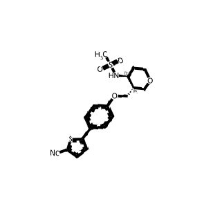 CS(=O)(=O)N[C@H]1CCOC[C@@H]1COc1ccc(-c2ccc(C#N)s2)cc1